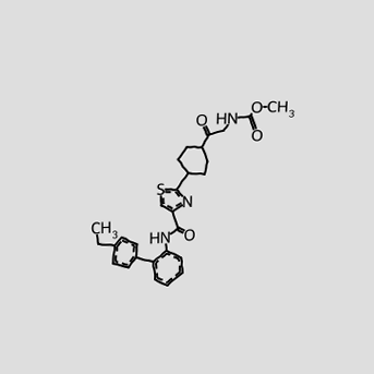 CCc1ccc(-c2ccccc2NC(=O)c2csc(C3CCC(C(=O)CNC(=O)OC)CC3)n2)cc1